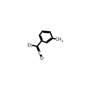 CCC(=C=O)c1cccc(C)c1